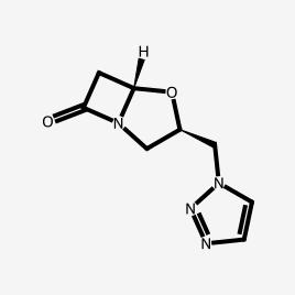 O=C1C[C@@H]2O[C@@H](Cn3ccnn3)CN12